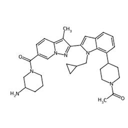 CC(=O)N1CCC(c2cccc3cc(-c4nn5cc(C(=O)N6CCCC(N)C6)ccc5c4C)n(CC4CC4)c23)CC1